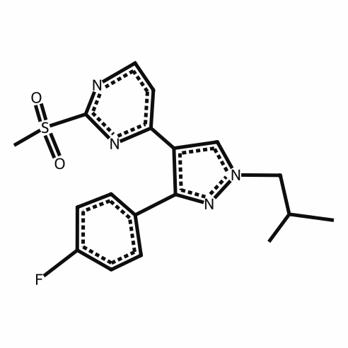 CC(C)Cn1cc(-c2ccnc(S(C)(=O)=O)n2)c(-c2ccc(F)cc2)n1